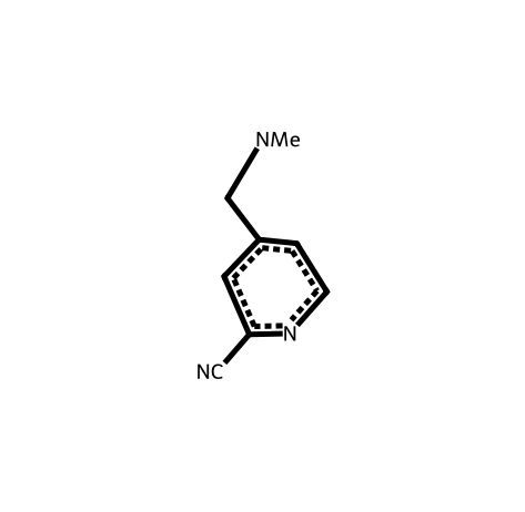 CNCc1ccnc(C#N)c1